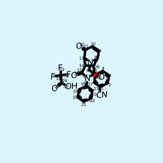 N#Cc1cccc(CN2C3C=CC(=O)C2C2C(=O)N(c4ccccc4)C(=O)C23)c1.O=C(O)C(F)(F)F